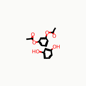 CC(=O)Oc1cccc(OC(C)=O)c1.Oc1cccc(O)c1